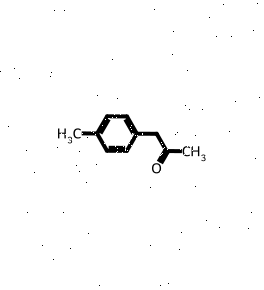 CC(=O)Cc1ccc(C)cc1